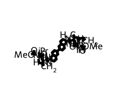 C=CC1C2C(=C)C(c3nc4ccc5cc(-c6ccc7c(ccc8nc([C@@H]9C(=C)CCN9C(=O)[C@@H](NC(=O)OC)C(C)C)[nH]c87)c6)ccc5c4[nH]3)N(C(=O)[C@@H](NC(=O)OC)C(C)C)[C@@H]12